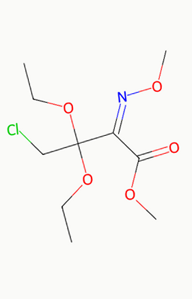 CCOC(CCl)(OCC)/C(=N/OC)C(=O)OC